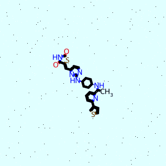 CC(N[C@H]1CC[C@H](Nc2nccc(/C=C3\SC(=O)NC3=O)n2)CC1)c1cccc(-c2ccsc2)n1